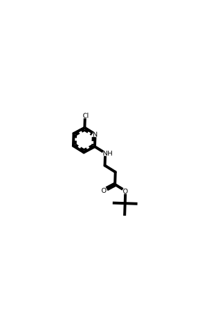 CC(C)(C)OC(=O)CCNc1cccc(Cl)n1